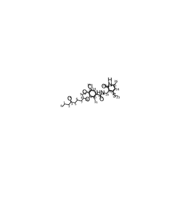 CCCC(=O)CCCC1COc2c(Cl)cc(C(=O)NCc3c(SC)cc(C)[nH]c3=O)c(C)c2O1